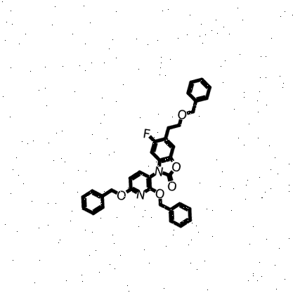 O=c1oc2cc(CCOCc3ccccc3)c(F)cc2n1-c1ccc(OCc2ccccc2)nc1OCc1ccccc1